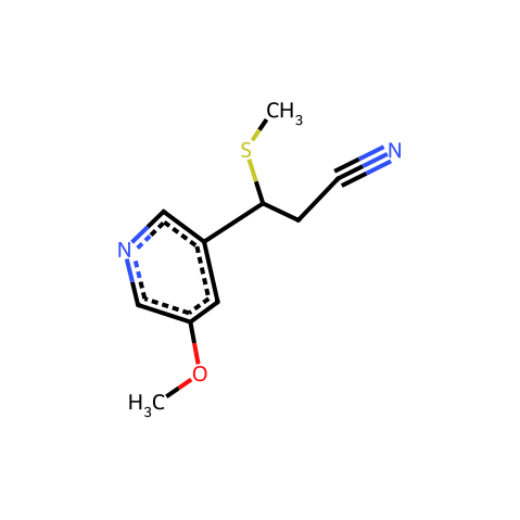 COc1cncc(C(CC#N)SC)c1